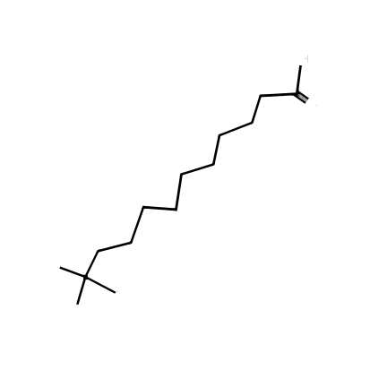 O=C(O)CCCCCCCCCC(F)(F)F